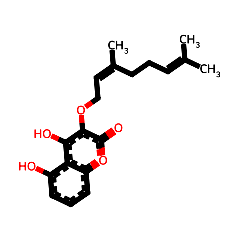 CC(C)=CCCC(C)=CCOc1c(O)c2c(O)cccc2oc1=O